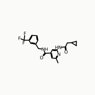 Cc1cc(C(=O)NCc2cccc(C(F)(F)F)c2)cc(NC(=O)CC2CC2)n1